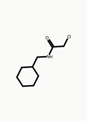 O=C(CCl)NCC1CCCCC1